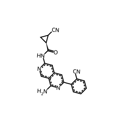 N#Cc1ccccc1-c1cc2cc(NC(=O)[C@H]3CC3C#N)ncc2c(N)n1